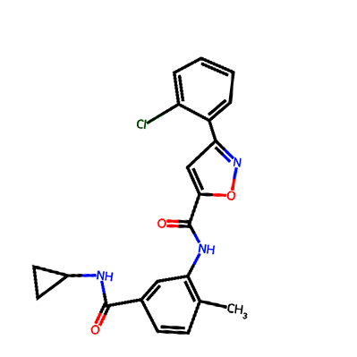 Cc1ccc(C(=O)NC2CC2)cc1NC(=O)c1cc(-c2ccccc2Cl)no1